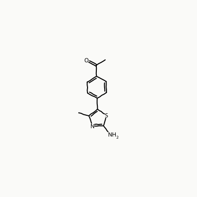 CC(=O)c1ccc(-c2sc(N)nc2C)cc1